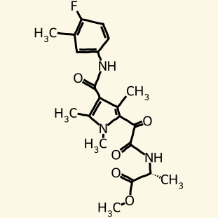 COC(=O)[C@@H](C)NC(=O)C(=O)c1c(C)c(C(=O)Nc2ccc(F)c(C)c2)c(C)n1C